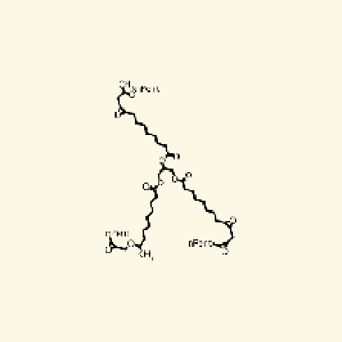 CCCCCOC(C)CC1OC1CCCCCCCC(=O)OC(COC(=O)CCCCCCCC(C)OCC1OC1CCCCC)COC(=O)CCCCCCCC1OC1CC1OC1CCCCC